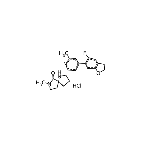 Cc1cc(-c2cc3c(cc2F)CCO3)cc([C@@H]2CC[C@]3(CCN(C)C3=O)N2)n1.Cl